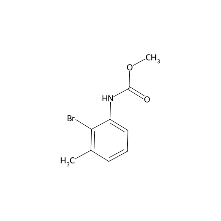 COC(=O)Nc1cccc(C)c1Br